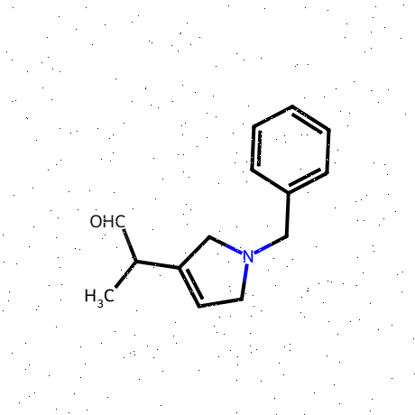 CC(C=O)C1=CCN(Cc2ccccc2)C1